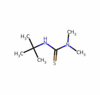 CN(C)C(=S)NC(C)(C)C